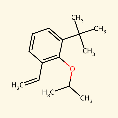 C=Cc1cccc(C(C)(C)C)c1OC(C)C